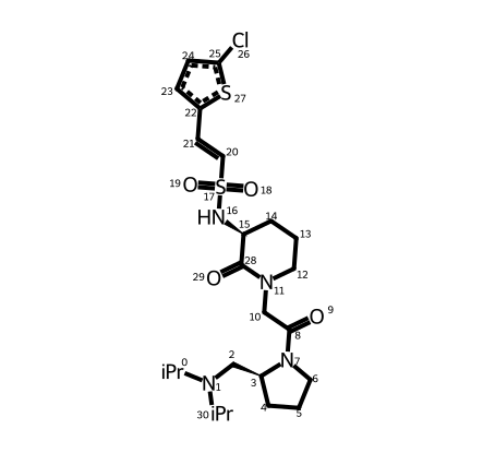 CC(C)N(C[C@@H]1CCCN1C(=O)CN1CCC[C@H](NS(=O)(=O)/C=C/c2ccc(Cl)s2)C1=O)C(C)C